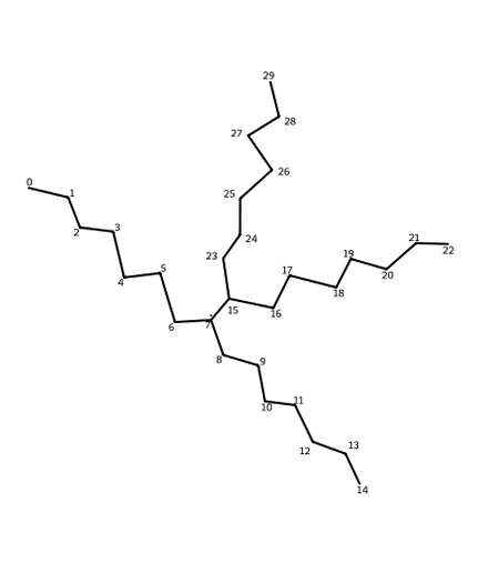 CCCCCCC[C](CCCCCCC)C(CCCCCCC)CCCCCCC